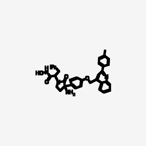 Cc1ccc(-c2cc(COc3ccc(C4(N)CCN(C(CC(C)C)C(=O)NO)C4=O)cc3)c3ccccc3n2)cc1